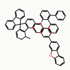 CC1CC=CC2=C1c1cc(N(c3ccc(-c4ccc5c(c4)oc4ccccc45)cc3)c3cccc(-c4ccccc4)c3-c3ccccc3-c3ccccc3)ccc1C21c2ccccc2-c2ccccc21